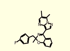 Cc1cnc2c(C3=NC(C)(Cc4ccc(F)cc4)Oc4ccccc43)cnn2c1C